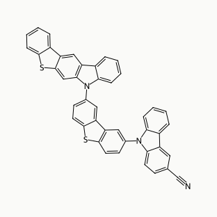 N#Cc1ccc2c(c1)c1ccccc1n2-c1ccc2sc3ccc(-n4c5ccccc5c5cc6c(cc54)sc4ccccc46)cc3c2c1